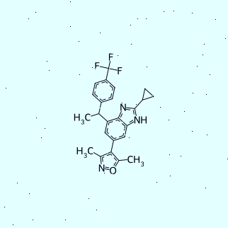 Cc1noc(C)c1-c1cc(C(C)c2ccc(C(F)(F)F)cc2)c2nc(C3CC3)[nH]c2c1